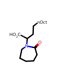 CCCCCCCCCCC(C(=O)O)N1CCCCCC1=O